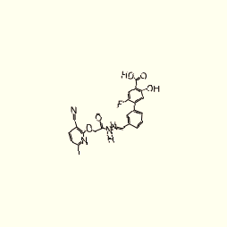 Cc1ccc(C#N)c(OCC(=O)N/N=C/c2cccc(-c3cc(O)c(C(=O)O)cc3F)c2)n1